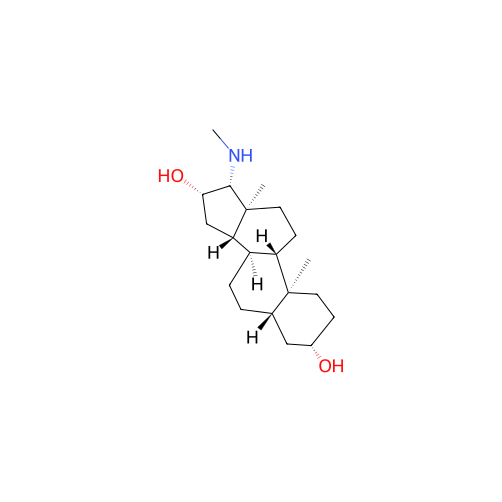 CN[C@H]1[C@@H](O)C[C@H]2[C@@H]3CC[C@H]4C[C@@H](O)CC[C@]4(C)[C@H]3CC[C@@]21C